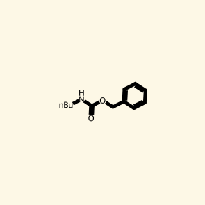 [CH2]CCCNC(=O)OCc1ccccc1